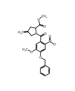 C=C1CC(C(=O)OC)N(C(=O)c2cc(OC)c(OCc3ccccc3)cc2[N+](=O)[O-])C1